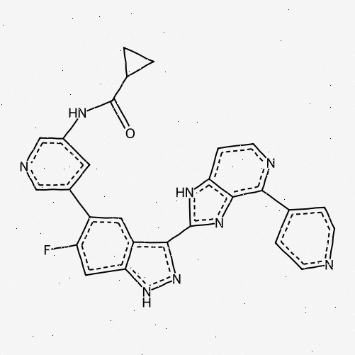 O=C(Nc1cncc(-c2cc3c(-c4nc5c(-c6ccncc6)nccc5[nH]4)n[nH]c3cc2F)c1)C1CC1